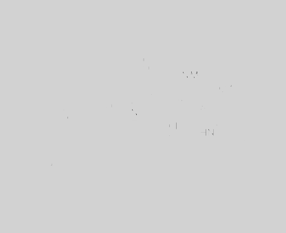 CNC(C)(C(=O)NI)C(=O)NOC1CCCCO1